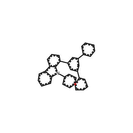 c1ccc(-c2cc(-c3ccccc3)cc(-c3cccc4c5ccccc5n(-c5ccccc5)c34)c2)cc1